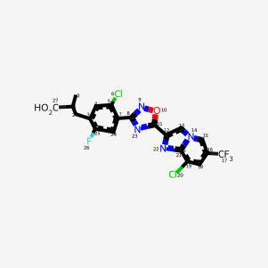 CC(Cc1cc(Cl)c(-c2noc(-c3cn4cc(C(F)(F)F)cc(Cl)c4n3)n2)cc1F)C(=O)O